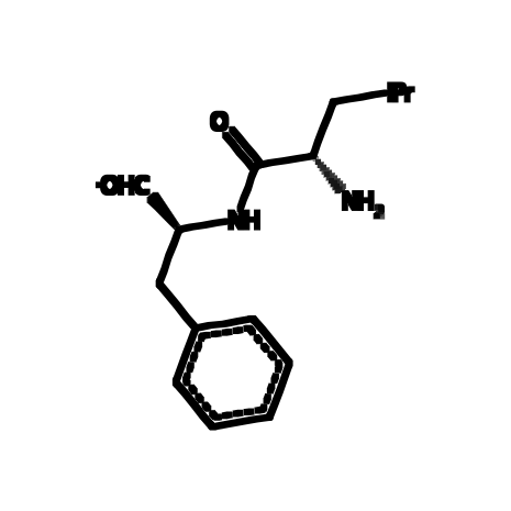 CC(C)C[C@H](N)C(=O)N[C@H]([C]=O)Cc1ccccc1